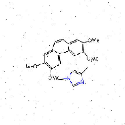 COc1cc2ccc3cc(OC)c(OC)cc3c2cc1OC.Cc1cn(C)cn1